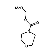 COCOC(=O)N1CCOCC1